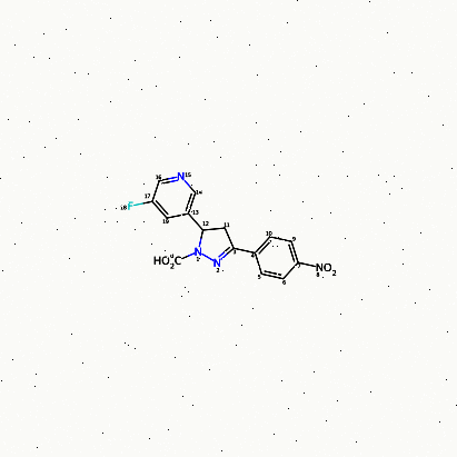 O=C(O)N1N=C(c2ccc([N+](=O)[O-])cc2)CC1c1cncc(F)c1